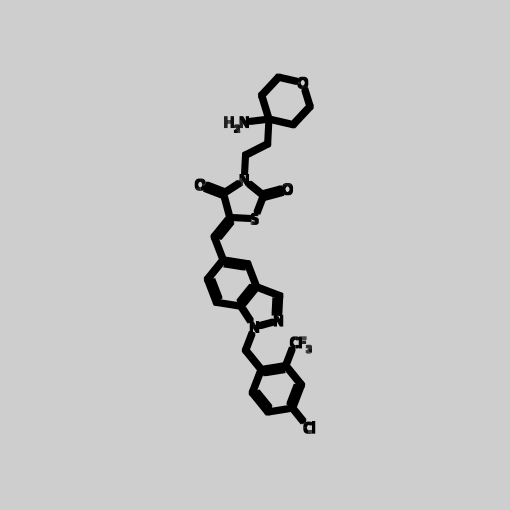 NC1(CCN2C(=O)SC(=Cc3ccc4c(cnn4Cc4ccc(Cl)cc4C(F)(F)F)c3)C2=O)CCOCC1